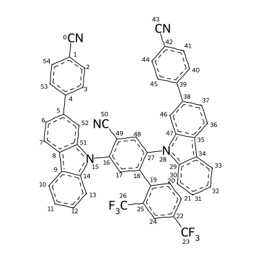 N#Cc1ccc(-c2ccc3c4ccccc4n(-c4cc(-c5ccc(C(F)(F)F)cc5C(F)(F)F)c(-n5c6ccccc6c6ccc(-c7ccc(C#N)cc7)cc65)cc4C#N)c3c2)cc1